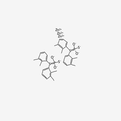 Cc1cccc(S(c2cccc(C)c2C)=P([O-])([O-])[S-])c1C.Cc1cccc(S(c2cccc(C)c2C)=P([O-])([O-])[S-])c1C.[Zn+2].[Zn+2].[Zn+2]